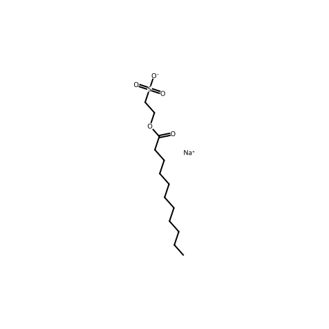 CCCCCCCCCCC(=O)OCCS(=O)(=O)[O-].[Na+]